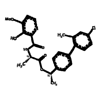 COc1ccnc(C(=O)N[C@@H](C)C(=O)O[C@@H](C)c2ccc(-c3ccc(Cl)cc3C)cc2)c1O